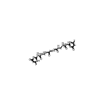 Cc1cc(=O)nc(NC(=O)NCNC(=O)CPCC(=O)NCNC(=O)Nc2nc(=O)cc(C)[nH]2)[nH]1